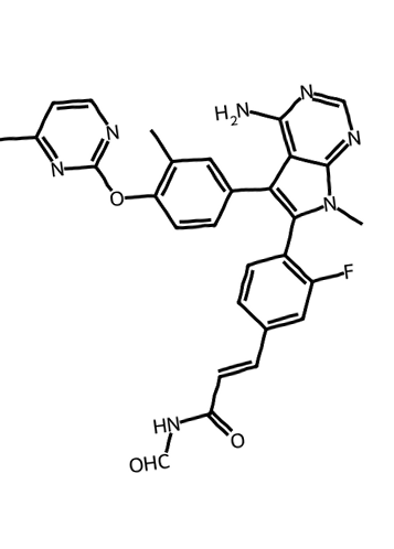 Cc1ccnc(Oc2ccc(-c3c(-c4ccc(C=CC(=O)NC=O)cc4F)n(C)c4ncnc(N)c34)cc2C)n1